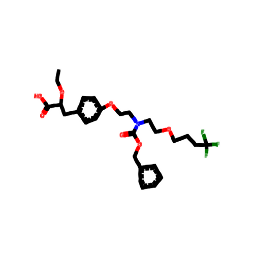 CCOC(Cc1ccc(OCCN(CCOCCCC(F)(F)F)C(=O)OCc2ccccc2)cc1)C(=O)O